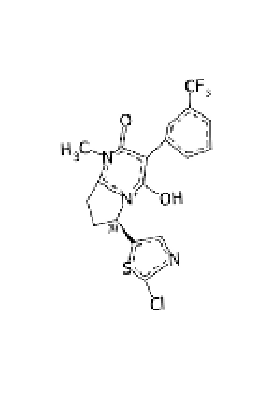 Cn1c2[n+](c(O)c(-c3cccc(C(F)(F)F)c3)c1=O)[C@@H](c1cnc(Cl)s1)CC2